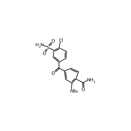 CCCCc1cc(C(=O)c2ccc(Cl)c(S(N)(=O)=O)c2)ccc1C(N)=O